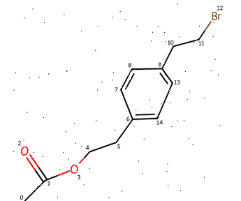 CC(=O)OCCc1ccc(CCBr)cc1